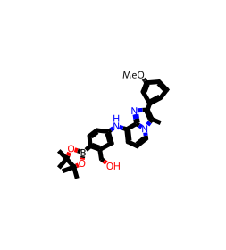 COc1cccc(-c2nc3c(Nc4ccc(B5OC(C)(C)C(C)(C)O5)c(CO)c4)cccn3c2C)c1